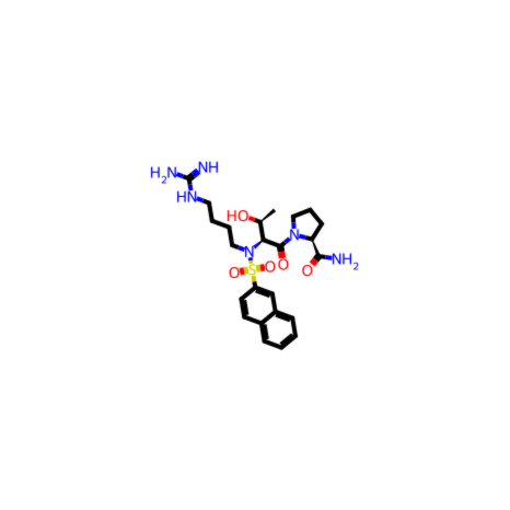 C[C@H](O)[C@@H](C(=O)N1CCC[C@H]1C(N)=O)N(CCCCNC(=N)N)S(=O)(=O)c1ccc2ccccc2c1